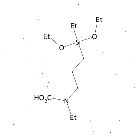 CCO[Si](CC)(CCCN(CC)C(=O)O)OCC